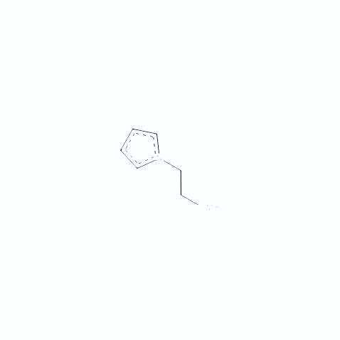 CSCCn1cccc1